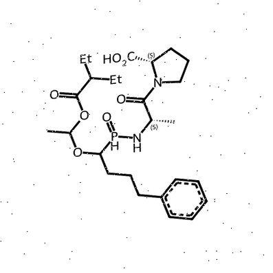 CCC(CC)C(=O)OC(C)OC(CCCc1ccccc1)[PH](=O)N[C@@H](C)C(=O)N1CCC[C@H]1C(=O)O